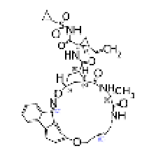 C=C[C@@H]1C[C@]1(NC(=O)[C@@H]1C[C@@H]2C[C@H]1C(=O)N[C@H](C)C(=O)NC/C=C/COc1ccc3c(c1)/C(=N\O2)c1ccccc1-3)C(=O)NS(=O)(=O)C1CC1